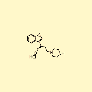 Cl.O=C=C(CCN1CCNCC1)c1csc2ccccc12